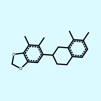 Cc1ccc2c(c1C)CC(c1cc3c(c(C)c1C)OCO3)CC2